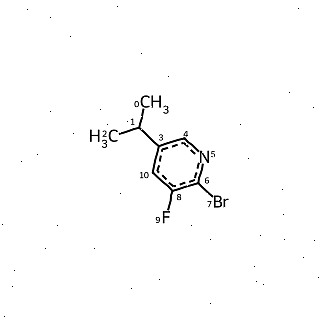 CC(C)c1cnc(Br)c(F)c1